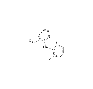 Cc1cccc(C)c1Nc1ccccc1C=O